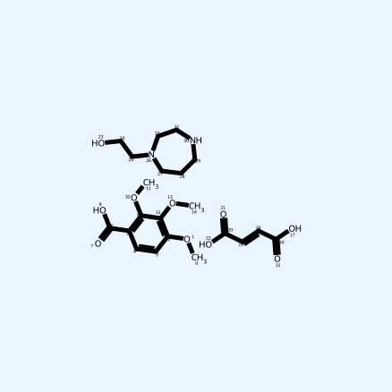 COc1ccc(C(=O)O)c(OC)c1OC.O=C(O)C=CC(=O)O.OCCN1CCCNCC1